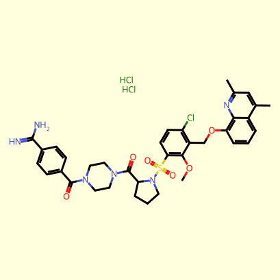 COc1c(S(=O)(=O)N2CCCC2C(=O)N2CCN(C(=O)c3ccc(C(=N)N)cc3)CC2)ccc(Cl)c1COc1cccc2c(C)cc(C)nc12.Cl.Cl